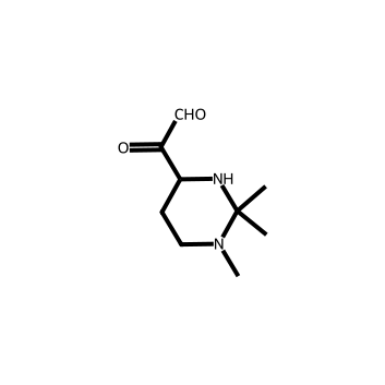 CN1CCC(C(=O)C=O)NC1(C)C